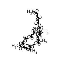 CC(OC(=O)COC(=O)COC(=O)CCC(=O)OP)C(=O)OCC(=O)OC(C)C(=O)OCCOC(=O)C(C)OC(=O)COC(=O)C(C)OC(=O)COC(=O)COC(=O)CCC(=O)OP